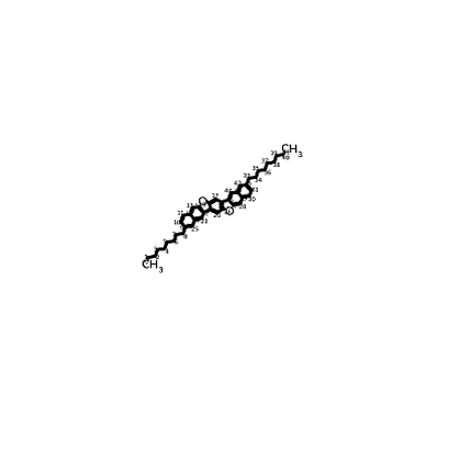 CCCCCCCCCc1ccc2cc3oc4cc5c(cc4c3cc2c1)oc1cc2ccc(CCCCCCCCC)cc2cc15